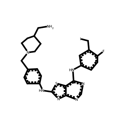 NCC1CCN(Cc2ccc(Nc3nc4ncnc(Nc5ccc(F)c(CI)c5)c4s3)cc2)CC1